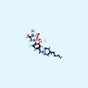 CCCCC1CCN(Cc2cc(O)c(N3CC(=O)NS3(=O)=O)c(F)c2)CC1